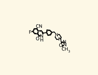 Cc1nnc(N2CCN(Cc3ccc(-c4cc5c(C#N)cc(F)cc5c(=O)[nH]4)cc3)CC2)o1